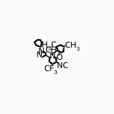 [C-]#[N+]c1c(C(F)(F)F)cc(-c2cnn(-c3ccccc3)c2C)n(Cc2ccc(C)cc2C)c1=O